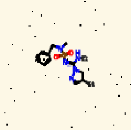 CCN/C(=N\S(=O)(=O)N(C)Cc1ccccc1)N1CC(CC)C=N1